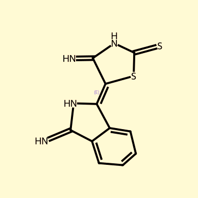 N=C1NC(=S)S/C1=C1/NC(=N)c2ccccc21